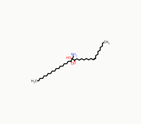 CCCCCCCC/C=C\CCCCCCCC(=O)C(O)(CN)C(=O)CCCCCCCCCCCCCCCCC